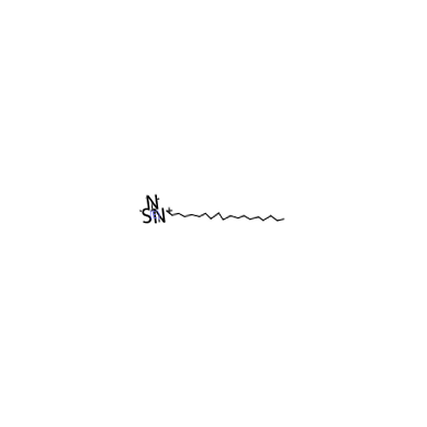 CCCCCCCCCCCCCCCCCCC/[N+](C)=C(/SC)N(C)C